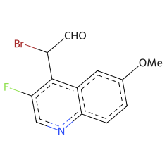 COc1ccc2ncc(F)c(C(Br)C=O)c2c1